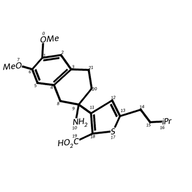 COc1cc2c(cc1OC)CC(N)(c1cc(CCC(C)C)sc1C(=O)O)CC2